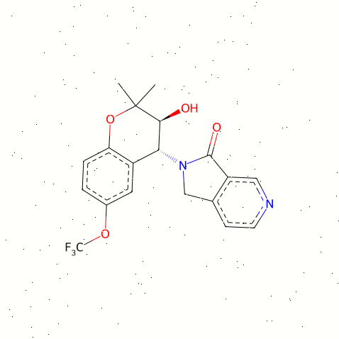 CC1(C)Oc2ccc(OC(F)(F)F)cc2[C@@H](N2Cc3ccncc3C2=O)[C@@H]1O